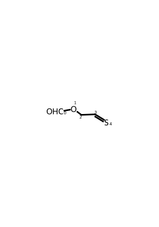 O=COCC=S